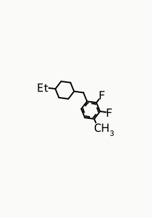 CCC1CCC(Cc2ccc(C)c(F)c2F)CC1